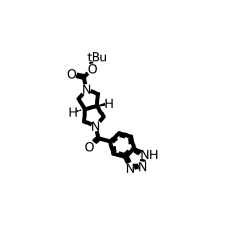 CC(C)(C)OC(=O)N1C[C@@H]2CN(C(=O)c3ccc4[nH]nnc4c3)C[C@H]2C1